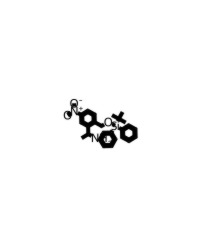 CC(N)c1cc([N+](=O)[O-])ccc1CO[Si](c1ccccc1)(c1ccccc1)C(C)(C)C